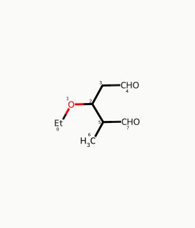 CCOC(CC=O)C(C)C=O